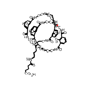 O=C(O)CCCC(=O)NCCCCC1CN2CCNC(=O)c3cccc(c3O)C(=O)NCCN(CCNC(=O)c3cccc(c3O)C(=O)N1)CCN1CCNC(=O)C3=C(O)C(=CCC3)C(=O)NCCN(CCNC(=O)c3cccc(c3O)C(=O)NCC1)CC2